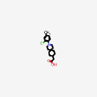 Cc1ccc(N2CCC3(CCC(CC(=O)O)CC3)CC2)c(Cl)c1